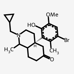 COc1cc(Br)c(C)c([C@@]23CCN(CC4CC4)C(C)C2CCC(=O)C3)c1O